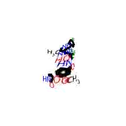 COc1cc(C(=O)NCC(O)(c2cc3c(c(-c4ccc(F)cc4)n2)NCC3(C)N)C(F)(F)F)ccc1OC1CCNC1=O